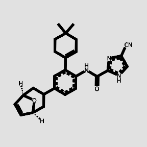 CC1(C)CC=C(c2cc(C3C[C@H]4C=C[C@@H](C3)O4)ccc2NC(=O)c2nc(C#N)c[nH]2)CC1